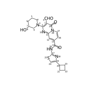 O=Cc1c(N2CCCC(O)C2)nc2cc(C(=O)Nc3nc(C4CCC4)cs3)ccn2c1=O